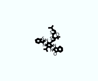 CC(C)c1cc2c(s1)-c1sc(-c3c4nc5c(nc4c(C(C)C)c4nc6c(nc34)sc3ccccc36)C(=O)c3ccccc3-5)cc1C(C)(C)O2